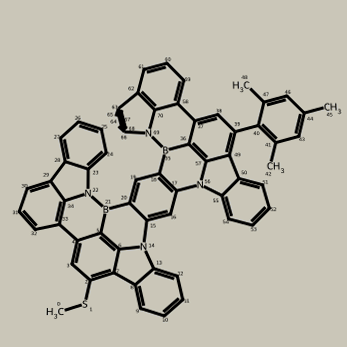 CSc1cc2c3c4c1c1ccccc1n4-c1cc4c(cc1B3n1c3ccccc3c3cccc-2c31)B1c2c(cc(-c3c(C)cc(C)cc3C)c3c5ccccc5n-4c23)-c2cccc3c4ccccc4n1c23